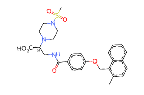 Cc1ccc2ccccc2c1COc1ccc(C(=O)NC[C@@H](C(=O)O)N2CCN(S(C)(=O)=O)CC2)cc1